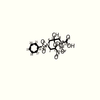 CC(CN(CC(C)(C)CNC(=O)O)S(=O)(=O)c1ccccc1)[N+](=O)[O-]